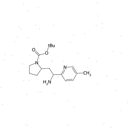 Cc1ccc(C(N)CC2CCCN2C(=O)OC(C)(C)C)nc1